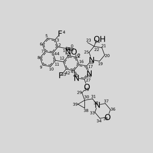 C#Cc1c(F)ccc2cccc(-c3c([N+](=O)[O-])cc4c(N5CCCC(C)(O)C5)nc(OCC5(CN6CCOCC6)CC5)nc4c3F)c12